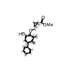 COC(=O)[C@@H]1C[C@H]1COc1c(O)cc(-c2ccccc2)c(F)c1F